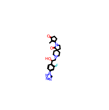 CC1=C(N2CCC3(CCN(CC(O)c4ccc(-n5cnnn5)cc4F)CC3)C2=O)CCC1=O